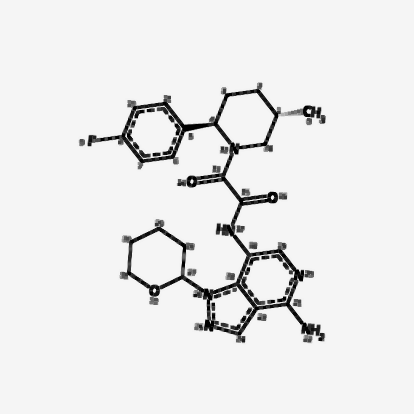 C[C@H]1CC[C@H](c2ccc(F)cc2)N(C(=O)C(=O)Nc2cnc(N)c3cnn(C4CCCCO4)c23)C1